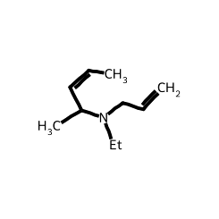 C=CCN(CC)C(C)/C=C\C